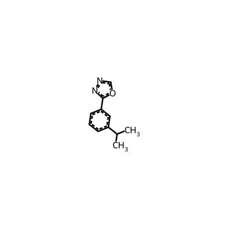 CC(C)c1cccc(-c2nnco2)c1